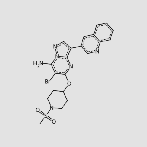 CS(=O)(=O)N1CCC(Oc2nc3c(-c4cnc5ccccc5c4)cnn3c(N)c2Br)CC1